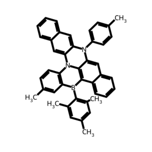 Cc1ccc(N2c3cc4ccccc4cc3N3c4ccc(C)cc4B(c4c(C)cc(C)cc4C)c4c3c2cc2ccccc42)cc1